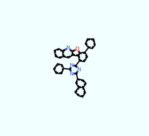 c1ccc(-c2nc(-c3ccc4ccccc4c3)nc(-c3ccc(-c4ccccc4)c4oc5nc6ccccc6cc5c34)n2)cc1